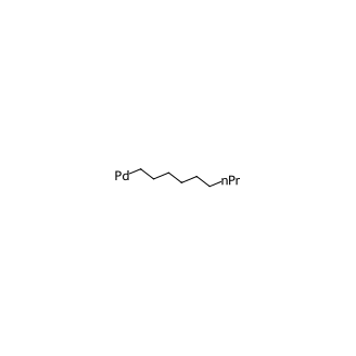 CCCCCCCC[CH2][Pd]